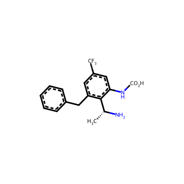 C[C@@H](N)c1c(Cc2ccccc2)cc(C(F)(F)F)cc1NC(=O)O